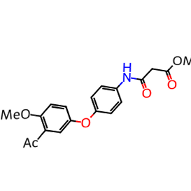 COC(=O)CC(=O)Nc1ccc(Oc2ccc(OC)c(C(C)=O)c2)cc1